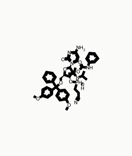 COc1ccc(C(OC[C@H]2O[C@@H](n3ccc(N)nc3=O)[C@H](OC(=O)Nc3ccccc3)[C@@H]2O[PH](O)(CCC#N)N(C(C)C)C(C)C)(c2ccccc2)c2ccc(OC)cc2)cc1